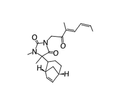 C/C=C\C=C(/C)C(=O)CN1C(=O)N(C)C(C)(C2CC[C@@H]3C=C[C@H]2C3)C1=O